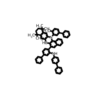 Cc1ccc(-c2ccccc2)cc1N1c2cc3c(cc2Bc2c(-c4ccc(-c5ccccc5)cc4Nc4ccc(-c5ccccc5)cc4)cc4ccccc4c21)C(C)(C)CCC3(C)C